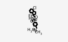 CCC1(C(=O)NS(=O)(=O)c2ccc(CN(C)C)cc2)CCc2c(Cl)cccc21